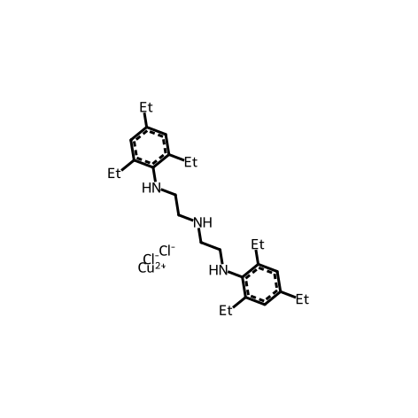 CCc1cc(CC)c(NCCNCCNc2c(CC)cc(CC)cc2CC)c(CC)c1.[Cl-].[Cl-].[Cu+2]